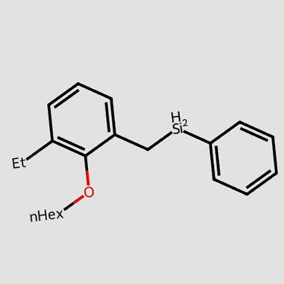 CCCCCCOc1c(CC)cccc1C[SiH2]c1ccccc1